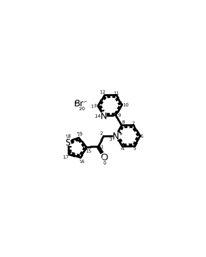 O=C(C[n+]1ccccc1-c1ccccn1)c1ccsc1.[Br-]